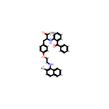 COC(=O)C(Cc1ccc(OCCNc2c(C(C)=O)ccc3ccccc23)cc1)Nc1ccccc1C(=O)c1ccccc1